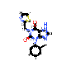 Cc1ccccc1-n1c(=O)n(Cc2nccs2)c(=O)c2[nH]cnc21